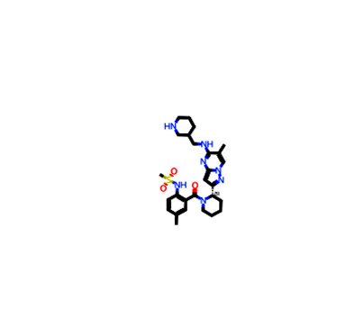 Cc1ccc(NS(C)(=O)=O)c(C(=O)N2CCCC[C@H]2c2cc3nc(NCC4CCCNC4)c(C)cn3n2)c1